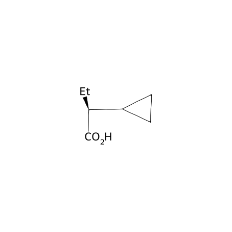 CC[C@H](C(=O)O)C1CC1